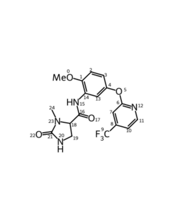 COc1ccc(Oc2cc(C(F)(F)F)ccn2)cc1NC(=O)C1CNC(=O)N1C